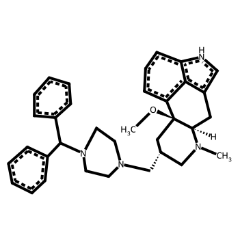 CO[C@]12C[C@@H](CN3CCN(C(c4ccccc4)c4ccccc4)CC3)CN(C)[C@@H]1Cc1c[nH]c3cccc2c13